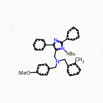 CCCCn1c(-c2ccccc2)nc(-c2ccccc2)c1CN(Cc1ccc(OC)cc1)Cc1ccccc1C